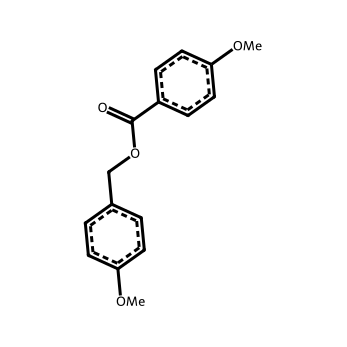 COc1ccc(COC(=O)c2ccc(OC)cc2)cc1